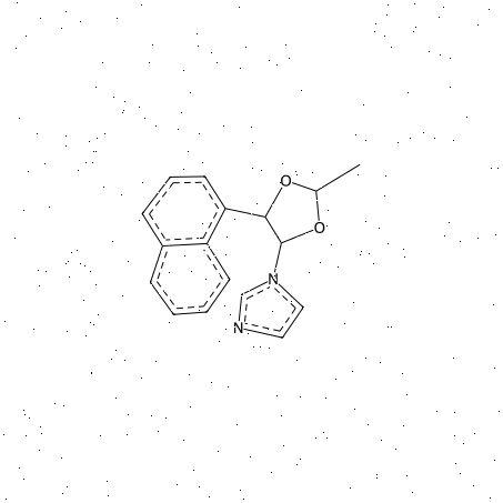 CC1OC(c2cccc3ccccc23)C(n2ccnc2)O1